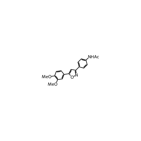 COc1ccc(-c2cc(-c3ccc(NC(C)=O)cc3)no2)cc1OC